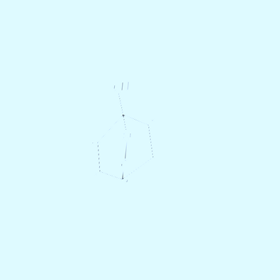 CC12CCC(CC1)CO2